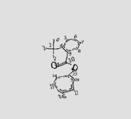 CC(C)(C)c1ccccc1C(=O)Oc1ccccc1